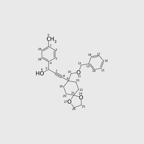 Cc1ccc(C(O)C#CC2(COCc3ccccc3)CCC3(CC2)OCCO3)cc1